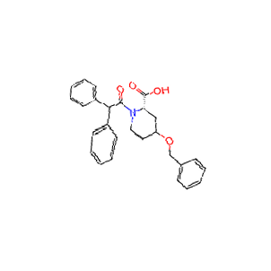 O=C(O)[C@@H]1CC(OCc2ccccc2)CCN1C(=O)C(c1ccccc1)c1ccccc1